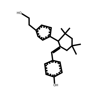 CC1(C)CC(=Cc2ccc(O)cc2)C(c2ccc(CCO)cc2)C(C)(C)C1